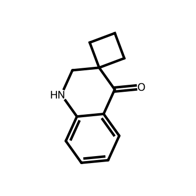 O=C1c2ccccc2NCC12CCC2